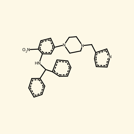 O=[N+]([O-])c1ccc(N2CCN(Cc3cccnc3)CC2)cc1NC(c1ccccc1)c1ccccc1